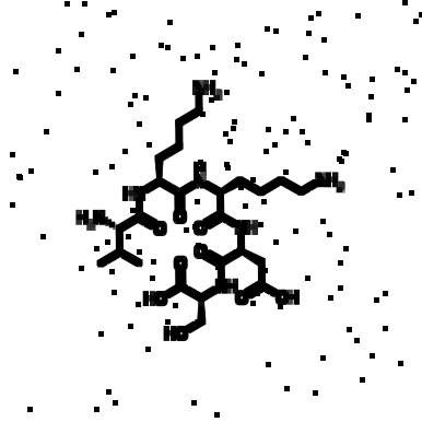 CC(C)[C@H](N)C(=O)N[C@@H](CCCCN)C(=O)N[C@@H](CCCCN)C(=O)N[C@@H](CC(=O)O)C(=O)N[C@@H](CO)C(=O)O